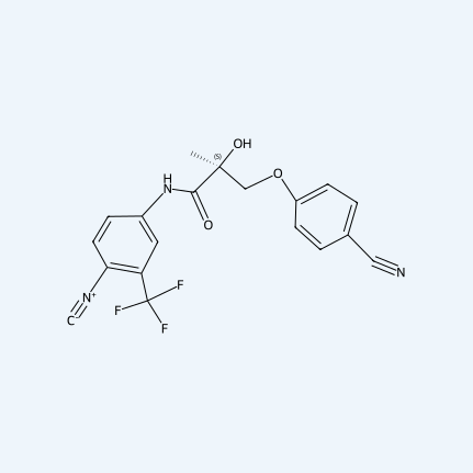 [C-]#[N+]c1ccc(NC(=O)[C@@](C)(O)COc2ccc(C#N)cc2)cc1C(F)(F)F